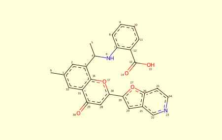 Cc1cc(C(C)Nc2ccccc2C(=O)O)c2oc(-c3cc4cnccc4o3)cc(=O)c2c1